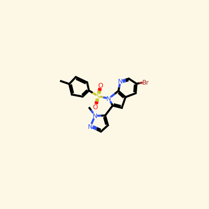 Cc1ccc(S(=O)(=O)n2c(-c3ccnn3C)cc3cc(Br)cnc32)cc1